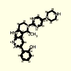 CC1c2c([nH]c3nnc(-c4ccccc4O)cc23)CCN1c1ncc(N2CCNCC2)cn1